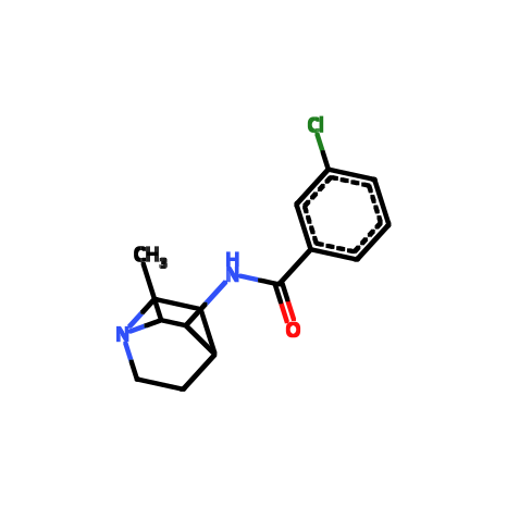 CC1C(NC(=O)c2cccc(Cl)c2)C2CCN1CC2